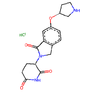 Cl.O=C1CCC(N2Cc3ccc(OC4CCNC4)cc3C2=O)C(=O)N1